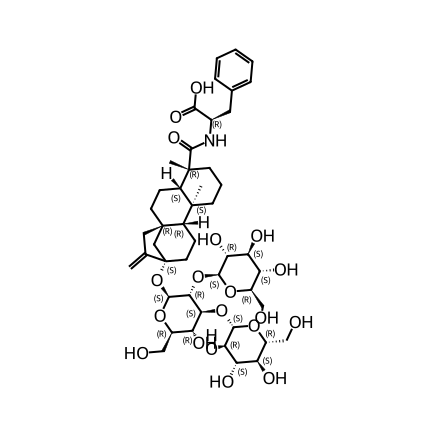 C=C1C[C@@]23CC[C@H]4[C@@](C)(CCC[C@@]4(C)C(=O)N[C@H](Cc4ccccc4)C(=O)O)[C@@H]2CC[C@]1(O[C@@H]1O[C@H](CO)[C@@H](O)[C@H](O[C@@H]2O[C@H](CO)[C@@H](O)[C@H](O)[C@H]2O)[C@H]1O[C@@H]1O[C@H](CO)[C@@H](O)[C@H](O)[C@H]1O)C3